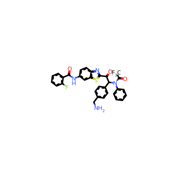 NCc1ccc(C(C(=O)c2nc3ccc(NC(=O)c4ccccc4F)cc3s2)N(C(=O)C(F)(F)F)c2ccccc2)cc1